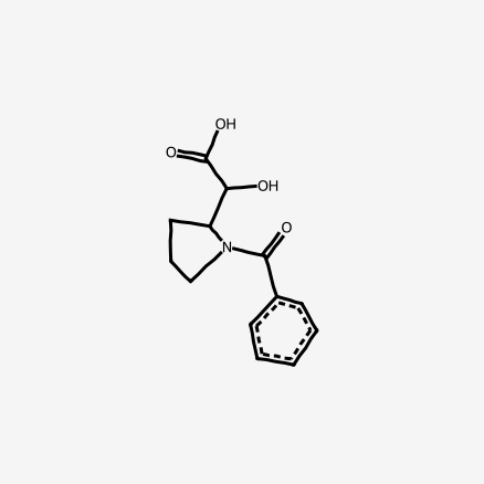 O=C(O)C(O)C1CCCN1C(=O)c1ccccc1